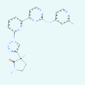 Cc1cc(Nc2nccc(-c3cccc(-n4cc(C5(O)CCN(C)C5=O)nn4)n3)n2)ccn1